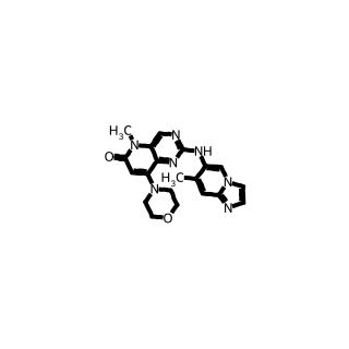 Cc1cc2nccn2cc1Nc1ncc2c(n1)c(N1CCOCC1)cc(=O)n2C